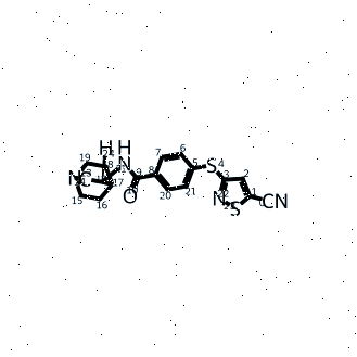 N#Cc1cc(Sc2ccc(C(=O)N[C@H]3CN4CCC3CC4)cc2)ns1